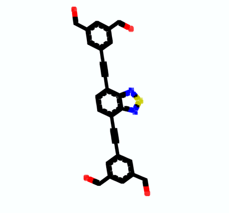 O=Cc1cc(C#Cc2ccc(C#Cc3cc(C=O)cc(C=O)c3)c3nsnc23)cc(C=O)c1